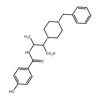 CC(NC(=O)c1ccc(O)cc1)C(C(=O)O)N1CCN(Cc2ccccc2)CC1